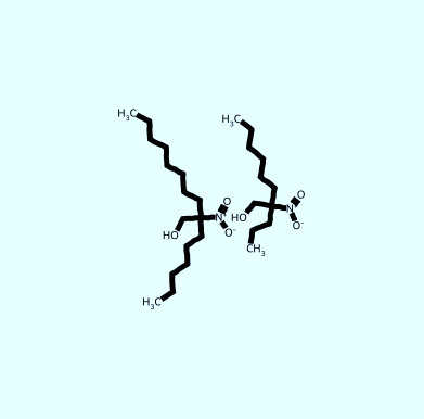 CCCCCCC(CO)(CCC)[N+](=O)[O-].CCCCCCCCC(CO)(CCCCCC)[N+](=O)[O-]